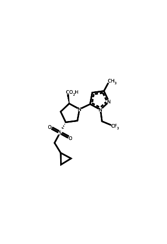 Cc1cc(N2C[C@H](S(=O)(=O)CC3CC3)C[C@H]2C(=O)O)n(CC(F)(F)F)n1